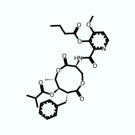 CCCC(=O)Oc1c(OC)ccnc1C(=O)N[C@H]1COC(=O)[C@H](Cc2ccccc2)[C@@H](OC(=O)C(C)C)[C@H](C)OC1=O